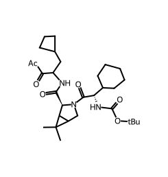 CC(=O)C(=O)C(CC1CCC1)NC(=O)[C@@H]1C2C(CN1C(=O)[C@@H](NC(=O)OC(C)(C)C)C1CCCCC1)C2(C)C